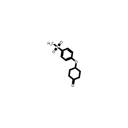 CS(=O)(=O)c1ccc(OC2CCC(=O)CC2)cc1